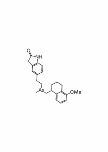 COc1cccc2c1CCCC2C[As](C)CCc1ccc2c(c1)CC(=O)N2